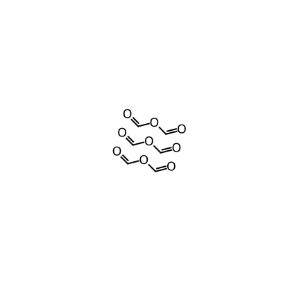 O=COC=O.O=COC=O.O=COC=O